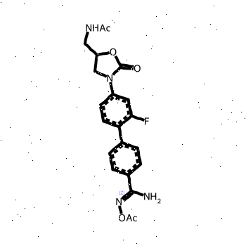 CC(=O)NCC1CN(c2ccc(-c3ccc(/C(N)=N/OC(C)=O)cc3)c(F)c2)C(=O)O1